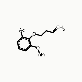 C=CCCOc1c(OCCC)cccc1C(C)=O